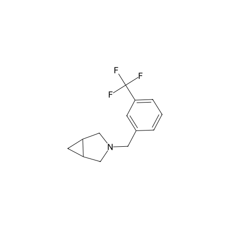 FC(F)(F)c1cccc(CN2CC3CC3C2)c1